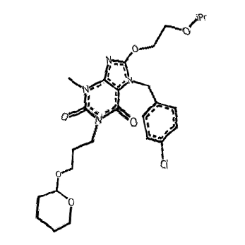 CC(C)OCCOc1nc2c(c(=O)n(CCCOC3CCCCO3)c(=O)n2C)n1Cc1ccc(Cl)cc1